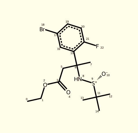 CCOC(=O)CC(C)(N[S@+]([O-])C(C)(C)C)c1cc(Br)ccc1F